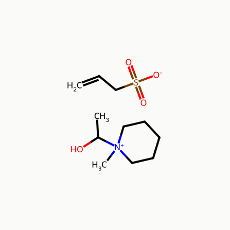 C=CCS(=O)(=O)[O-].CC(O)[N+]1(C)CCCCC1